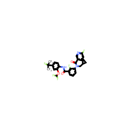 O=C(Nc1ccc(C(F)(C(F)(F)F)C(F)(F)F)cc1OC(F)F)c1cccc(N(CC2CC2)C(=O)c2ccc(F)nc2)c1F